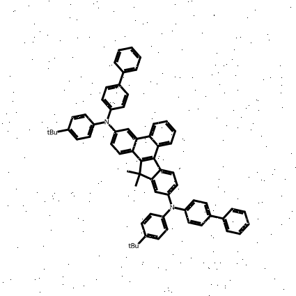 CC(C)(C)c1ccc(N(c2ccc(-c3ccccc3)cc2)c2ccc3c(c2)C(C)(C)c2c-3c3ccccc3c3cc(N(c4ccc(-c5ccccc5)cc4)c4ccc(C(C)(C)C)cc4)ccc23)cc1